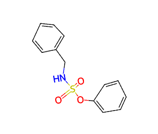 O=S(=O)(NCc1ccccc1)Oc1ccccc1